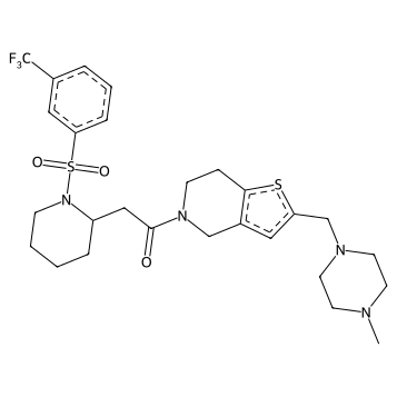 CN1CCN(Cc2cc3c(s2)CCN(C(=O)CC2CCCCN2S(=O)(=O)c2cccc(C(F)(F)F)c2)C3)CC1